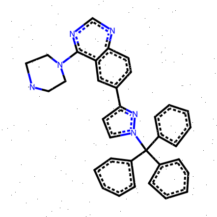 c1ccc(C(c2ccccc2)(c2ccccc2)n2ccc(-c3ccc4ncnc(N5CC[N]CC5)c4c3)n2)cc1